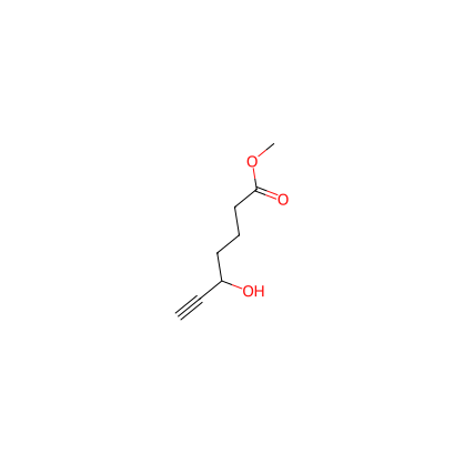 C#CC(O)CCCC(=O)OC